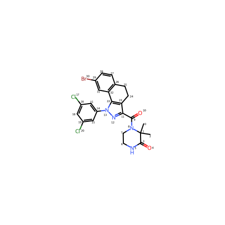 CC1(C)C(=O)NCCN1C(=O)c1nn(-c2cc(Cl)cc(Cl)c2)c2c1CCc1ccc(Br)cc1-2